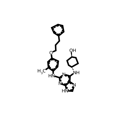 Cc1cc(OCCCc2ccccc2)ccc1Nc1nc(N[C@H]2CC[C@H](O)CC2)c2nc[nH]c2n1